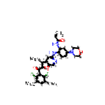 C=CC(=O)Nc1cc(N2CCOCC2)ccc1Nc1cc2c(NC)c(C(=O)c3c(F)c(OC)cc(OC)c3F)oc2cn1